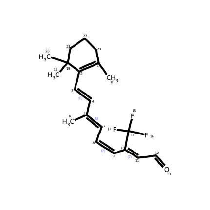 CC1=C(/C=C/C(C)=C/C=C\C(=C\C=O)C(F)(F)F)C(C)(C)CCC1